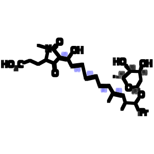 CC(/C=C/C=C/C=C/C(O)=C1\C(=O)C(CCC(=O)O)N(C)C1=O)=C\C(C)C(O[C@H]1C[C@H](O)[C@H](O)[C@@H](C)O1)C(C)C